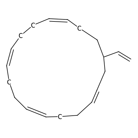 C=CC1CC=CCCC=CCCC=CCCC=CCC1